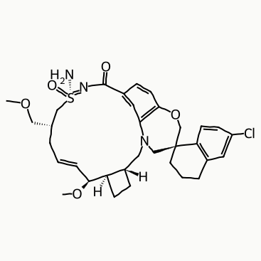 COC[C@H]1C/C=C/[C@H](OC)[C@@H]2CC[C@H]2CN2C[C@@]3(CCCc4cc(Cl)ccc43)COc3ccc(cc32)C(=O)N=[S@](N)(=O)C1